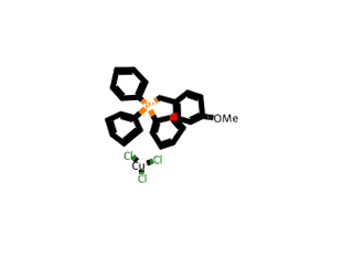 COc1ccc(C[P+](c2ccccc2)(c2ccccc2)c2ccccc2)cc1.[Cl][Cu-]([Cl])[Cl]